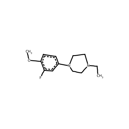 CCN1CCN(c2ccc(OC)c(F)c2)CC1